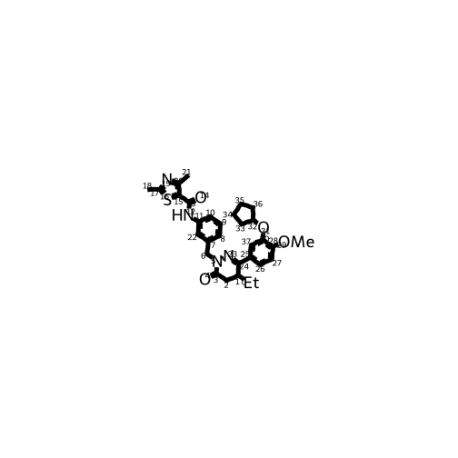 CCC1CC(=O)N(Cc2cccc(NC(=O)c3sc(C)nc3C)c2)N=C1c1ccc(OC)c(OC2CCCC2)c1